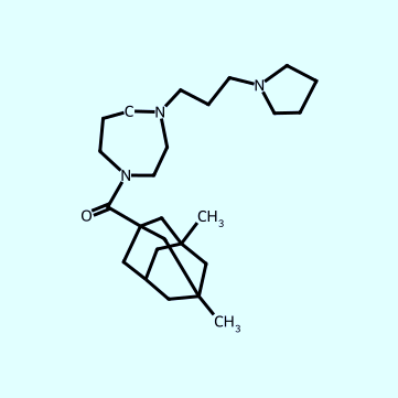 CC12CC3CC(C)(C1)CC(C(=O)N1CCCN(CCCN4CCCC4)CC1)(C3)C2